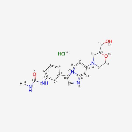 CCNC(=O)Nc1cccc(-c2cnc3cc(N4CCOC(CO)C4)ccn23)c1.Cl